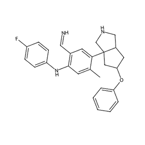 Cc1cc(Nc2ccc(F)cc2)c(C=N)cc1C12CNCC1CC(Oc1ccccc1)C2